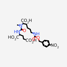 CN(C(=O)N[C@@H](CCC(=O)O)C(=O)O)[C@@H](CCCCNC(=O)OCc1ccc([N+](=O)[O-])cc1)C(=O)O